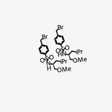 COC[C@H](CC(C)C)NS(=O)(=O)c1ccc(CBr)cc1.COC[C@H](CC(C)C)NS(=O)(=O)c1ccc(CBr)cc1